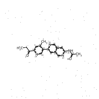 CCC(=O)c1cc(C)c(-c2cc3cnc(NC(C)=O)cc3cn2)cn1